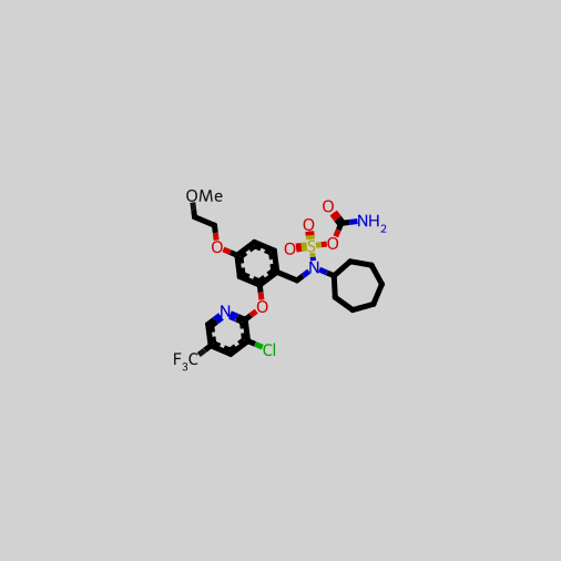 COCCOc1ccc(CN(C2CCCCCC2)S(=O)(=O)OC(N)=O)c(Oc2ncc(C(F)(F)F)cc2Cl)c1